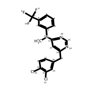 CN(c1cccc(C(F)(F)F)c1)c1cc(Cc2ccc(Cl)c(Cl)c2)ncn1